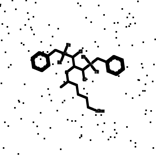 CCCCCCCCCCCCCCC(C)OC(C(Cl)[N+](CC)(CC)Cc1ccccc1)C(Cl)[N+](CC)(CC)Cc1ccccc1